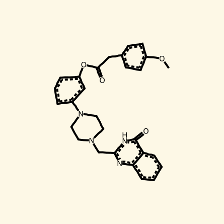 COc1ccc(CC(=O)Oc2cccc(N3CCN(Cc4nc5ccccc5c(=O)[nH]4)CC3)c2)cc1